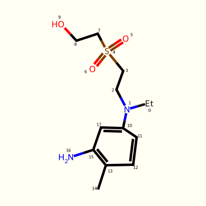 CCN(CCS(=O)(=O)CCO)c1ccc(C)c(N)c1